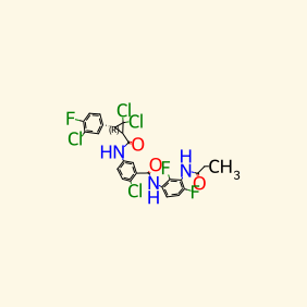 CCC(=O)Nc1c(F)ccc(NC(=O)c2cc(NC(=O)C3[C@H](c4ccc(F)c(Cl)c4)C3(Cl)Cl)ccc2Cl)c1F